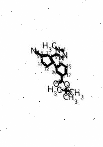 Cn1cnnc1-c1cc(C#N)ccc1-c1cccc(C(=O)OC(C)(C)C)c1